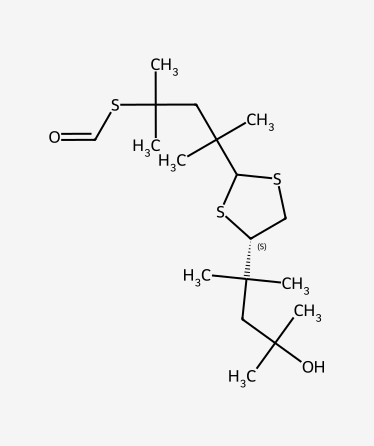 CC(C)(O)CC(C)(C)[C@H]1CSC(C(C)(C)CC(C)(C)SC=O)S1